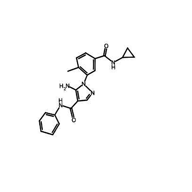 Cc1ccc(C(=O)NC2CC2)cc1-n1ncc(C(=O)Nc2ccccc2)c1N